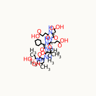 CCC(NC(=O)[C@H](CC(C)C)NC(=O)[C@@H](NC(=O)[C@@H](NC(=O)[C@H](CCC(=O)O)NC(=O)[C@H](CC(=O)O)NC(=O)CCC(=O)O)C1CCCCC1)C(C)(C)C)B(O)O